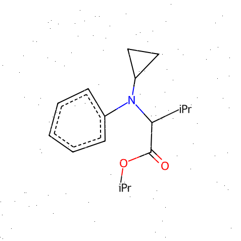 CC(C)OC(=O)C(C(C)C)N(c1ccccc1)C1CC1